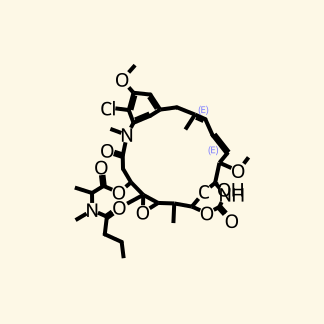 CCCC(=O)N(C)C(C)C(=O)OC1CC(=O)N(C)c2cc(cc(OC)c2Cl)C/C(C)=C/C=C/C(OC)C2(O)CC(OC(=O)N2)C(C)C2OC12C